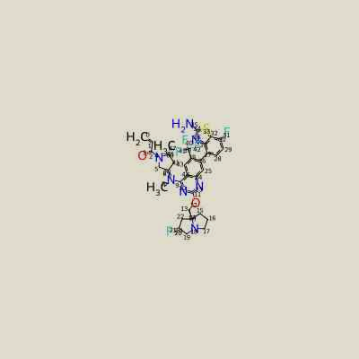 C=CC(=O)N1C[C@H](N(C)c2nc(OC[C@@]34CCCN3C[C@H](F)C4)nc3cc(-c4ccc(F)c5sc(N)nc45)c(C(F)(F)F)cc23)C[C@H]1C